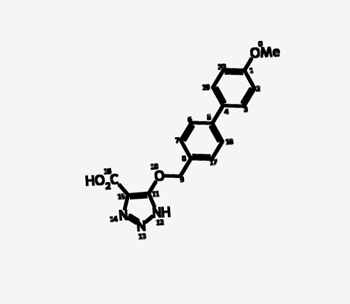 COc1ccc(-c2ccc(COc3[nH]nnc3C(=O)O)cc2)cc1